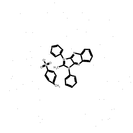 Cc1ccc(S(=O)(=O)[O-])cc1.Cc1n(-c2ccccc2)c2nc3ccccc3nc2[n+]1-c1ccccc1